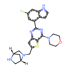 Fc1cc(-c2nc(N3CCOCC3)c3sc(CN4C[C@@H]5C[C@H]4CN5)cc3n2)c2cc[nH]c2c1